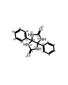 O=C1NC2(c3ccccc3)NC(=O)NC2(c2ccccc2)N1